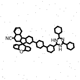 N#CC1CC2C(C3CCC=CC13)C1CCC(C3CCC(C4CCCC(C5NC(C6CCCCC6)=NC(C6CCCCC6)N5)C4)CC3)CC1C21C2C=CCCC2OC2CCCCC21